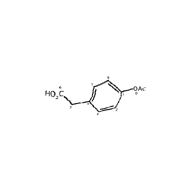 CC(=O)Oc1ccc(CC(=O)O)cc1